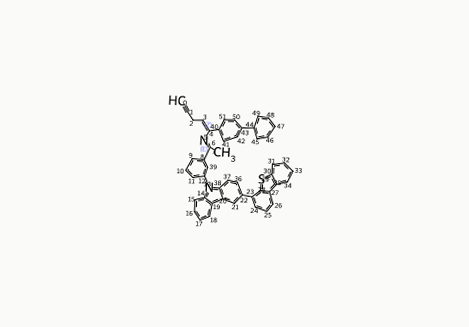 C#CC/C=C(\N=C(/C)c1cccc(-n2c3ccccc3c3cc(-c4cccc5c4sc4ccccc45)ccc32)c1)c1ccc(-c2ccccc2)cc1